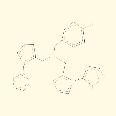 C[C@H](c1ccc(F)cc1)N(Cc1cccn1-c1nncs1)Cc1cccn1-c1nncs1